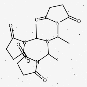 CC(N1C(=O)CCC1=O)N(C(C)N1C(=O)CCC1=O)C(C)N1C(=O)CCC1=O